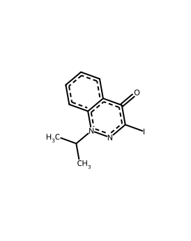 CC(C)n1nc(I)c(=O)c2ccccc21